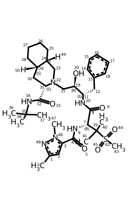 Cc1cc(C(=O)N[C@H](C(=O)N[C@@H](Cc2ccccc2)[C@H](O)CN2C[C@H]3CCCC[C@H]3C[C@H]2C(=O)NC(C)(C)C)C(C)(C)S(C)(=O)=O)n(C)n1